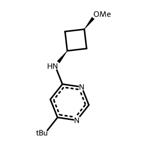 CO[C@H]1C[C@@H](Nc2cc(C(C)(C)C)ncn2)C1